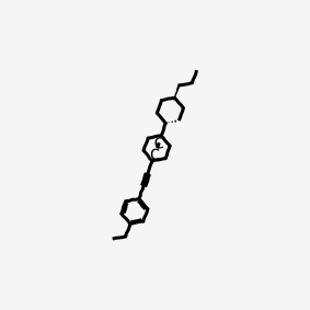 CCC[C@H]1CC[C@H](C23CCC(C#Cc4ccc(CC)cc4)(CC2)CC3)CC1